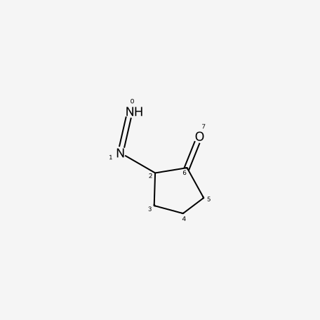 N=NC1CCCC1=O